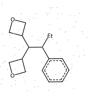 [CH2]CC(c1ccccc1)C(C1COC1)C1COC1